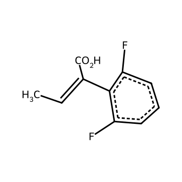 CC=C(C(=O)O)c1c(F)cccc1F